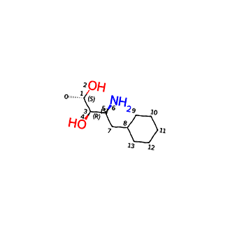 C[C@H](O)[C@H](O)[C@@H](N)CC1CCCCC1